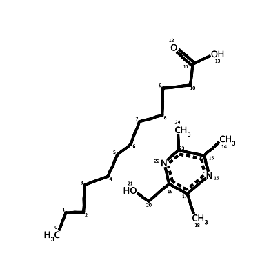 CCCCCCCCCCCC(=O)O.Cc1nc(C)c(CO)nc1C